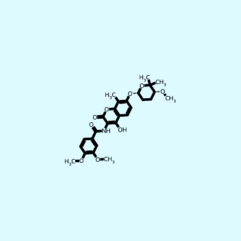 COc1ccc(C(=O)Nc2c(O)c3ccc(O[C@H]4CC[C@@H](OC)C(C)(C)O4)c(C)c3oc2=O)cc1OC